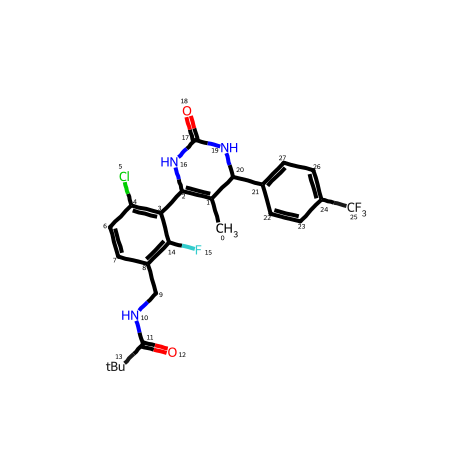 CC1=C(c2c(Cl)ccc(CNC(=O)C(C)(C)C)c2F)NC(=O)NC1c1ccc(C(F)(F)F)cc1